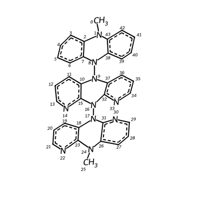 CN1c2ccccc2N(N2c3cccnc3N(N3c4cccnc4N(C)c4cccnc43)c3ncccc32)c2ccccc21